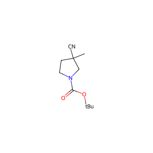 CC1(C#N)CCN(C(=O)OC(C)(C)C)C1